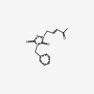 CC(=O)/C=C/Cn1sc(=O)n(Cc2ccccc2)c1=O